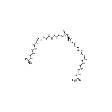 CC(CNCCCCCCCC/C=C\CCCCCCCC(=O)O)NCCCCCCCC/C=C\CCCCCCCC(=O)O